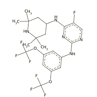 CC1(C)CC(Nc2nc(Nc3cc(OC(F)(F)F)cc(OC(F)(F)F)c3)ncc2F)CC(C)(C)N1